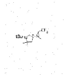 CN(CC(F)(F)F)[C@H]1CN(C(C)(C)C)C(C)(C)C1